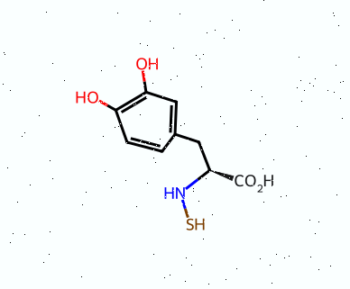 O=C(O)[C@H](Cc1ccc(O)c(O)c1)NS